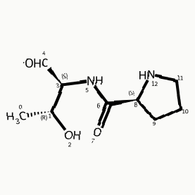 C[C@@H](O)[C@@H]([C]=O)NC(=O)[C@@H]1CCCN1